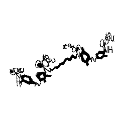 CC1=C/C(=N/c2cc(C)c(N(CCCCCCCCCN(C(=O)OC(C)(C)C)c3ccc(/N=C4/C=C(C)C(NC(=O)OC(C)(C)C)=CC4)c(C)c3C)C(=O)OC(C)(C)C)cc2C)CC=C1NC(=O)OC(C)(C)C